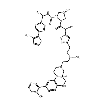 Cc1ncsc1-c1ccc(C(C)NC(=O)[C@@H]2C[C@@H](O)CN2C(=O)C(c2cc(CCN(C)CCN3CCN4c5cc(-c6ccccc6O)nnc5NC[C@H]4C3)no2)C(C)C)cc1